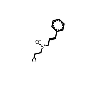 [O-][S+](CC=Cc1ccccc1)CCCl